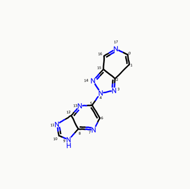 c1cc2nn(-c3cnc4[nH]cnc4n3)nc2cn1